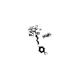 O=P(O)(O)C(NCCCCOc1ccc(Cl)cc1)P(=O)(O)O.[Na].[Na].[Na].[Na]